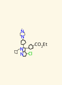 CCOC(=O)c1ccc(-c2c(-c3ccc(N4CCN(C)CC4)cc3)n(CC3CCC3)c3nccc(Cl)c23)cc1